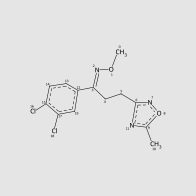 CON=C(CCc1noc(C)n1)c1ccc(Cl)c(Cl)c1